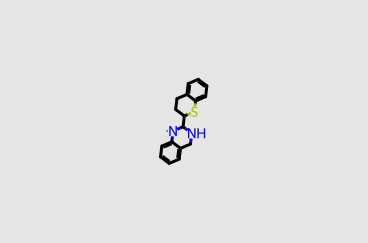 c1ccc2c(c1)CNC(C1CCc3ccccc3S1)[N]2